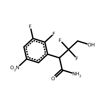 NC(=O)[C](c1cc([N+](=O)[O-])cc(F)c1F)C(F)(F)CO